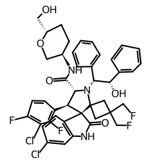 O=C(N[C@@H]1CC[C@@H](CO)OC1)[C@H]1[C@H](c2ccc(F)c(Cl)c2F)[C@@]2(C(=O)Nc3cc(Cl)ccc32)C2(CC(CF)(CF)C2)N1[C@H](c1ccccc1)[C@@H](O)c1ccccc1